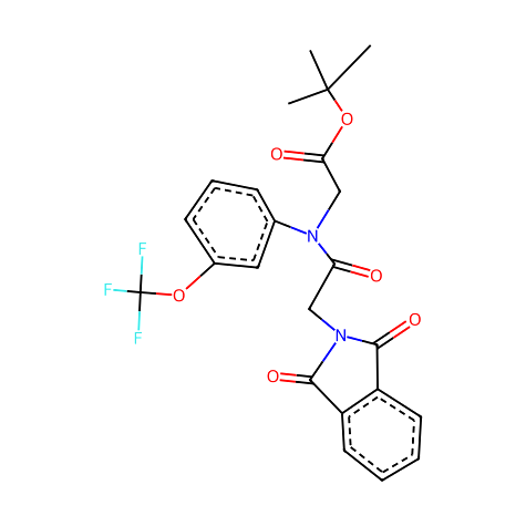 CC(C)(C)OC(=O)CN(C(=O)CN1C(=O)c2ccccc2C1=O)c1cccc(OC(F)(F)F)c1